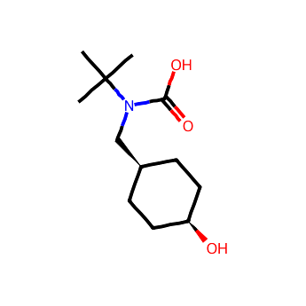 CC(C)(C)N(C[C@H]1CC[C@@H](O)CC1)C(=O)O